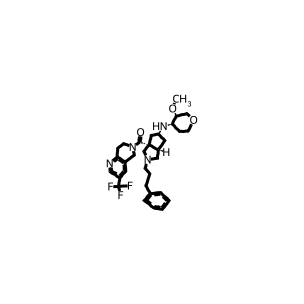 CO[C@@H]1COCC[C@@H]1N[C@@H]1C[C@H]2CN(CCCc3ccccc3)C[C@@]2(C(=O)N2CCc3ncc(C(F)(F)F)cc3C2)C1